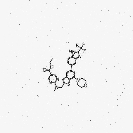 CCOC(=O)c1cnc(N(C)Cc2cc3cc(-c4ccc5[nH]c(C(F)(F)F)nc5c4)cc(N4CCOCC4)c3s2)nc1